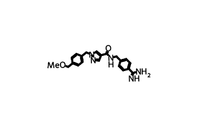 COCc1ccc(Cn2cc(C(=O)NCc3ccc(C(=N)N)cc3)cn2)cc1